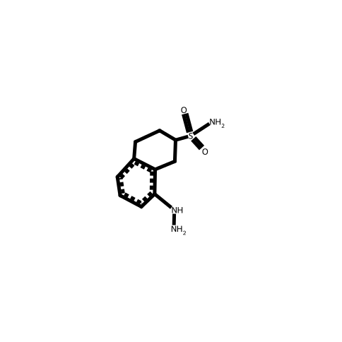 NNc1cccc2c1CC(S(N)(=O)=O)CC2